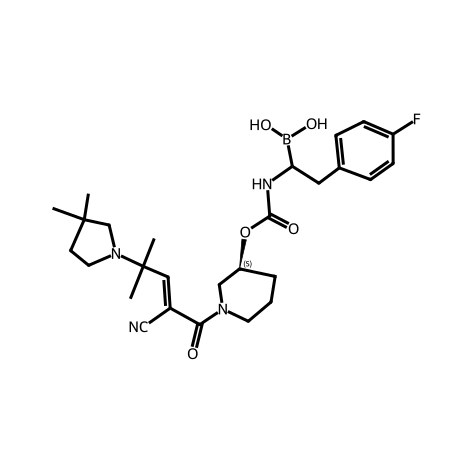 CC1(C)CCN(C(C)(C)C=C(C#N)C(=O)N2CCC[C@H](OC(=O)NC(Cc3ccc(F)cc3)B(O)O)C2)C1